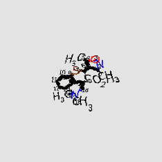 Cc1noc(C)c1CSc1ccccc1/C(=C\N(C)C)C(=O)O